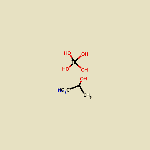 CC(O)C(=O)O.N.[OH][Ti]([OH])([OH])[OH]